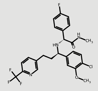 CNC(=O)[C@H](N[C@H](CCc1ccc(C(F)(F)F)nc1)c1ccc(Cl)c(OC)c1)c1ccc(F)cc1